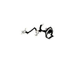 C=C(OCCO)C1CC2C=CC1C2